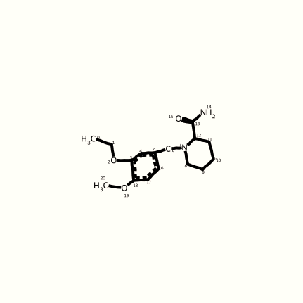 CCOc1cc(CN2CC[CH]CC2C(N)=O)ccc1OC